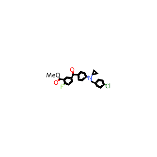 COC(=O)c1cc(C(=O)c2ccc(N(Cc3ccc(Cl)cc3)C3CC3)cc2)ccc1F